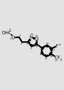 O=COCCc1cc(-c2ccc(C(F)(F)F)c(F)c2)on1